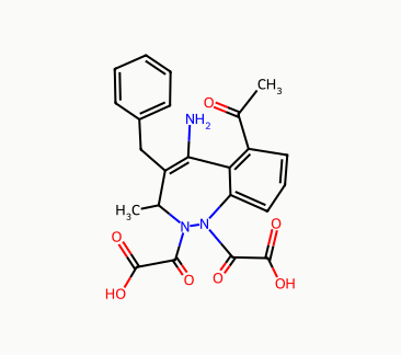 CC(=O)c1cccc2c1C(N)=C(Cc1ccccc1)C(C)N(C(=O)C(=O)O)N2C(=O)C(=O)O